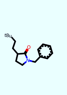 CC(C)(C)CCC1CCN(Cc2ccccc2)C1=O